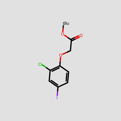 CC(C)(C)OC(=O)COc1ccc(I)cc1Cl